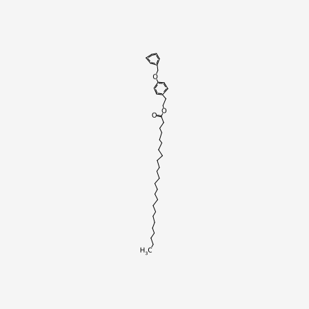 CCCCCCCCCCCCCCCCCCCCCCCCC(=O)OCCc1ccc(OCc2ccccc2)cc1